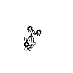 COc1ccc(CN/C=C(\N)CN(Cc2ccccn2)Cc2ccccn2)cc1[N+](=O)[O-]